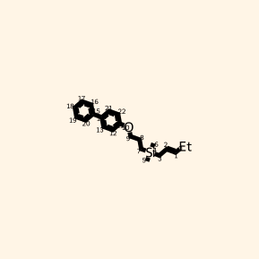 CCC=CC[Si](C)(C)CCCOc1ccc(-c2ccccc2)cc1